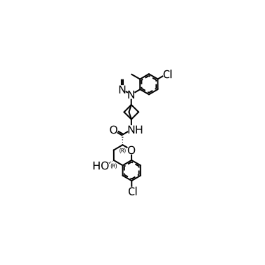 C=NN(c1ccc(Cl)cc1C)C12CC(NC(=O)[C@H]3C[C@@H](O)c4cc(Cl)ccc4O3)(C1)C2